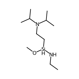 CCN[SiH](CCN(C(C)C)C(C)C)OC